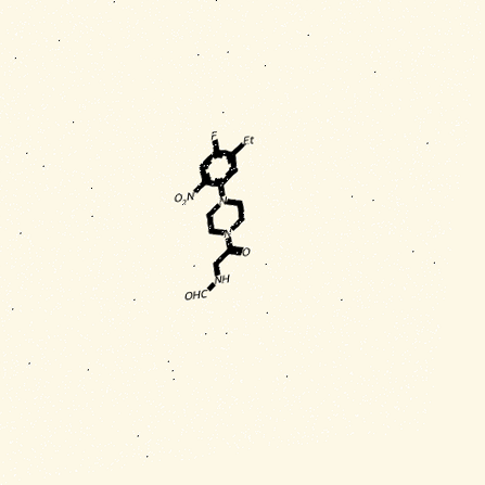 CCc1cc(N2CCN(C(=O)CNC=O)CC2)c([N+](=O)[O-])cc1F